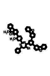 CCC1=C(c2cc(-c3ccc4oc5ccccc5c4c3)cc(-c3ccc4oc5ccccc5c4c3)c2)N=C(C2=CC=C(c3ccc4c(c3)C(C)(C)c3ccccc3-4)C(C)C2)N=C(c2ccccc2)C1